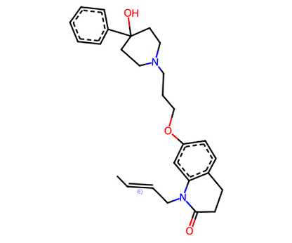 C/C=C/CN1C(=O)CCc2ccc(OCCCN3CCC(O)(c4ccccc4)CC3)cc21